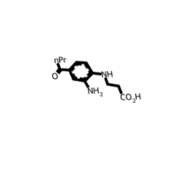 CCCC(=O)c1ccc(NCCC(=O)O)c(N)c1